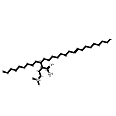 CCCCCCCCC=CCCCCCCCC(CCCCCCCCC)C(CCN(C)C)C(=O)O